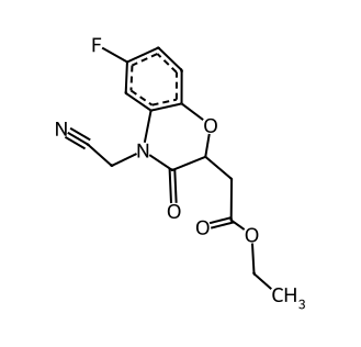 CCOC(=O)CC1Oc2ccc(F)cc2N(CC#N)C1=O